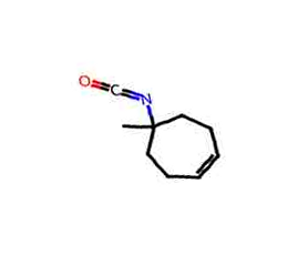 CC1(N=C=O)CCC=CCC1